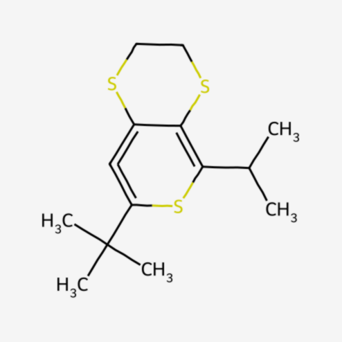 CC(C)C1=C2SCCSC2=C=C(C(C)(C)C)S1